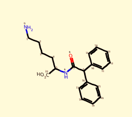 NCCCCC(NC(=O)C(c1ccccc1)c1ccccc1)C(=O)O